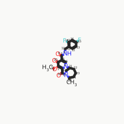 COc1c2n(cc(C(=O)NCc3ccc(F)cc3F)c1=O)C1CCCC(C)N(C1)C2=O